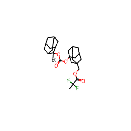 CCC1(OC(=O)OC23CC4CC(CC(COC(=O)C(C)(F)F)(C4)C2)C3)C2CC3CC(C2)CC1C3